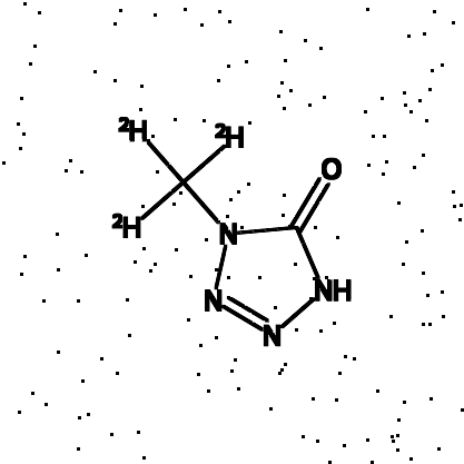 [2H]C([2H])([2H])n1nn[nH]c1=O